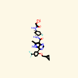 Cc1[nH]c2c(-c3cc(C(F)F)ccc3OCC3CC3)ncnc2c1C(=O)N[C@@H]1C[C@@H](NC(=O)CO)C[C@H]1F